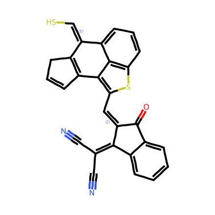 N#CC(C#N)=C1/C(=C/c2sc3cccc4/c(=C/S)c5c(c2c34)C=CC5)C(=O)c2ccccc21